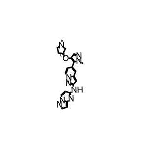 CN1CC[C@H](Oc2cnn(C)c2-c2ccn3nc(Nc4ccn5nccc5n4)cc3c2)C1